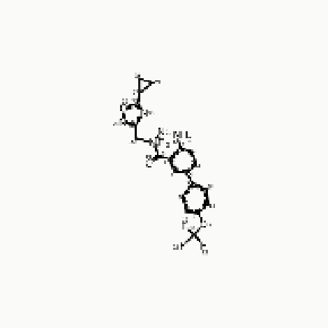 Nc1ccc(-c2ccc(OC(F)(F)F)cc2)cc1C(=O)N(N)Cc1noc(C2CC2)n1